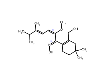 COC(=C/C=C(\C)C(C)C)/C(=N/O)C1=C(CO)CC(C)(C)CC1